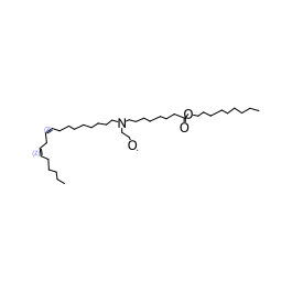 CCCCC/C=C\C/C=C\CCCCCCCCN(CCCCCCCC(=O)OCCCCCCCCC)CCOC